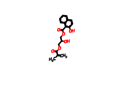 C=C(C)C(=O)OCC(O)COC(=O)c1c(O)ccc2ccccc12